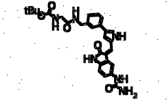 CC(C)(C)OC(=O)NCC(=O)NCc1cccc(-c2c[nH]c(/C=C3\C(=O)Nc4ccc(NC(N)=O)cc43)c2)c1